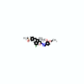 CCOc1ccc(/C=N\NC(=O)CC2=C(C)/C(=C/c3ccc([S+](C)[O-])cc3)c3ccc(F)cc32)cc1OC